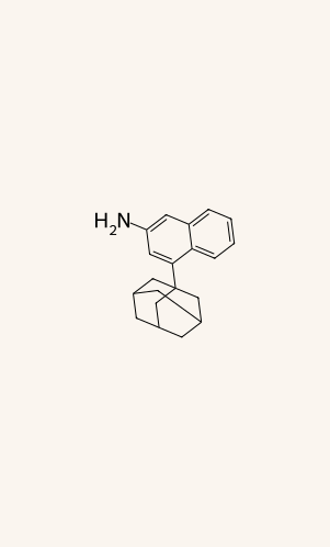 Nc1cc(C23CC4CC(CC(C4)C2)C3)c2ccccc2c1